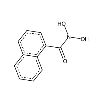 O=C(c1cccc2ccccc12)N(O)O